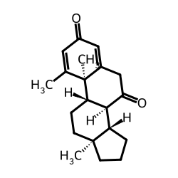 CC1=CC(=O)C=C2CC(=O)[C@H]3[C@@H]4CCC[C@@]4(C)CC[C@@H]3[C@@]12C